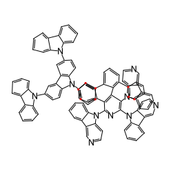 c1ccc(-c2cccc(-c3ccccc3)c2-c2c(-c3ccc(-n4c5ccc(-n6c7ccccc7c7ccccc76)cc5c5cc(-n6c7ccccc7c7ccccc76)ccc54)cc3)c(-n3c4ccccc4c4cnccc43)nc(-n3c4ccccc4c4cnccc43)c2-n2c3ccccc3c3cnccc32)cc1